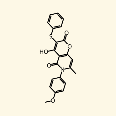 COc1ccc(-n2c(C)cc3oc(=O)c(Sc4ccccc4)c(O)c3c2=O)cc1